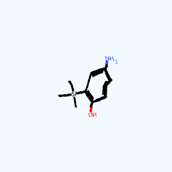 C[Si](C)(C)c1cc(N)ccc1O